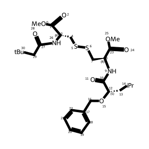 COC(=O)[C@H](CSSC[C@H](NC(=O)[C@H](CC(C)C)OCc1ccccc1)C(=O)OC)NC(=O)CC(C)(C)C